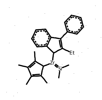 CCC1=C(c2ccccc2)c2ccccc2[CH]1[Zr]([CH]1C(C)=C(C)C(C)=C1C)=[Si](C)C